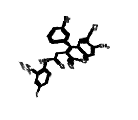 Cc1cc2oc(=O)c(CC(=O)Nc3ccc(F)cc3C(F)(F)F)c(-c3cccc(Br)c3)c2cc1Cl